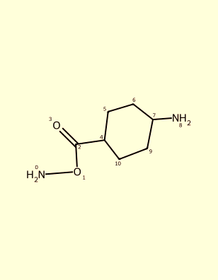 NOC(=O)C1CCC(N)CC1